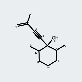 C=C(C)C#CC1(O)C(C)CCCC1C